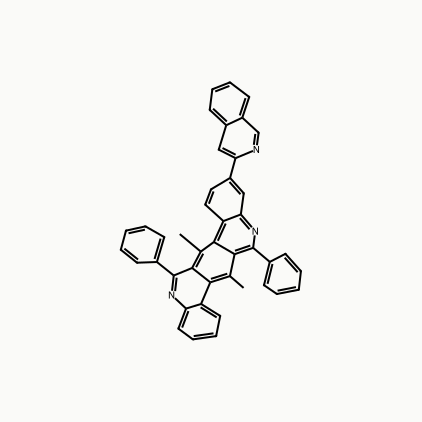 Cc1c2c(-c3ccccc3)nc3cc(-c4cc5ccccc5cn4)ccc3c2c(C)c2c(-c3ccccc3)nc3ccccc3c12